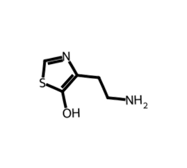 NCCc1ncsc1O